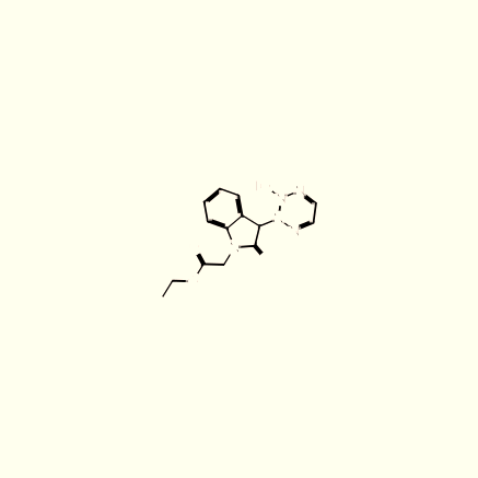 CCOC(=O)CN1C(=O)C(N2N=CC=NN2O)c2ccccc21